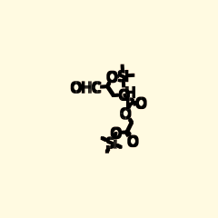 C[Si](C)(C)OC(=O)CO[PH](=O)OCC(C=O)O[Si](C)(C)C